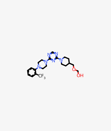 OCOCC1CCN(c2ncnc(N3CCN(c4ccccc4C(F)(F)F)CC3)n2)CC1